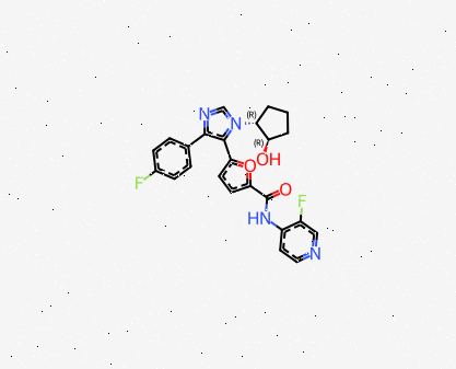 O=C(Nc1ccncc1F)c1ccc(-c2c(-c3ccc(F)cc3)ncn2[C@@H]2CCC[C@H]2O)o1